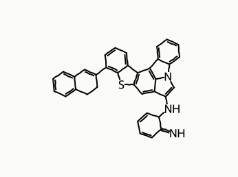 N=C1C=CC=CC1Nc1cn2c3ccccc3c3c4c(cc1c32)sc1c(C2=Cc3ccccc3CC2)cccc14